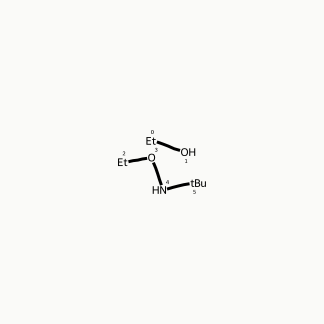 CCO.CCONC(C)(C)C